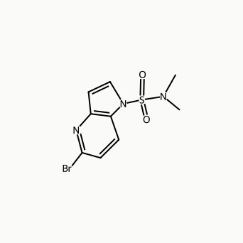 CN(C)S(=O)(=O)n1ccc2nc(Br)ccc21